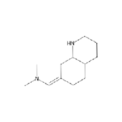 CN(C)/C=C1/CCC2CCCNC2C1